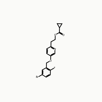 O=C(OCCc1ccc(OCc2cc(Br)ccc2F)cn1)C1CC1